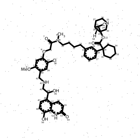 COc1cc(OCC(=O)N(C)CCCCc2cccc(C3(C(=O)O[C@H]4CN5CCC4CC5)CCCCC3)c2)c(Cl)cc1CNCC(O)c1ccc(O)c2[nH]c(=O)ccc12